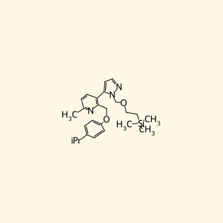 Cc1ccc(-c2ccnn2COCC[Si](C)(C)C)c(COc2ccc(C(C)C)cc2)n1